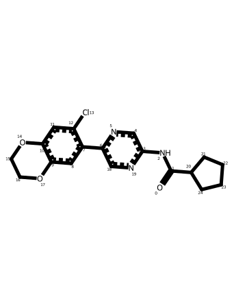 O=C(Nc1cnc(-c2cc3c(cc2Cl)OCCO3)cn1)C1CCCC1